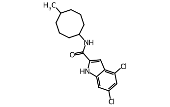 CC1CCCC(NC(=O)c2cc3c(Cl)cc(Cl)cc3[nH]2)CCC1